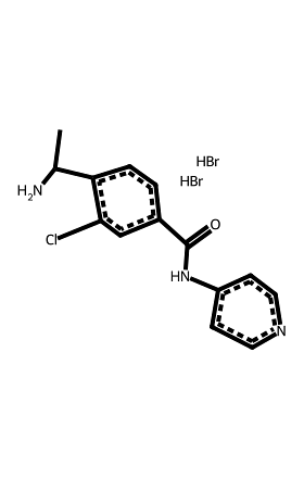 Br.Br.CC(N)c1ccc(C(=O)Nc2ccncc2)cc1Cl